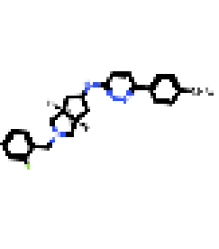 CC(=O)Nc1ccc(-c2ccc(NC3C[C@@H]4CN(Cc5ccccc5F)C[C@@H]4C3)nn2)cc1